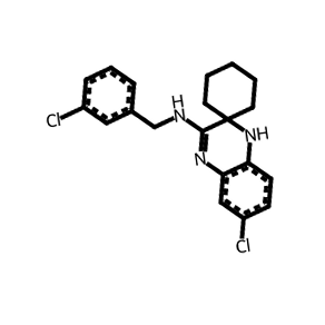 Clc1cccc(CNC2=Nc3cc(Cl)ccc3NC23CCCCC3)c1